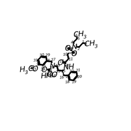 CCCN(CCC)S(=O)(=O)CCC(=O)N[C@@H](Cc1ccccc1)[C@H](O)CN(Cc1cccc(OC)c1)C(=O)O